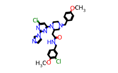 COc1ccc(CN2CCN(c3cc(Cl)nc(-n4ccnc4)n3)C(CC(=O)NCc3ccc(OC)c(Cl)c3)C2)cc1